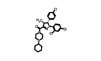 C[C@@H]1C(C(=O)N2CCN(C3CCCCC3)CC2)=NN(c2ccc(Cl)cc2Cl)[C@H]1c1ccc(Cl)cc1